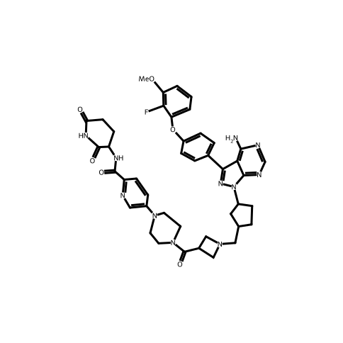 COc1cccc(Oc2ccc(-c3nn(C4CCC(CN5CC(C(=O)N6CCN(c7ccc(C(=O)NC8CCC(=O)NC8=O)nc7)CC6)C5)C4)c4ncnc(N)c34)cc2)c1F